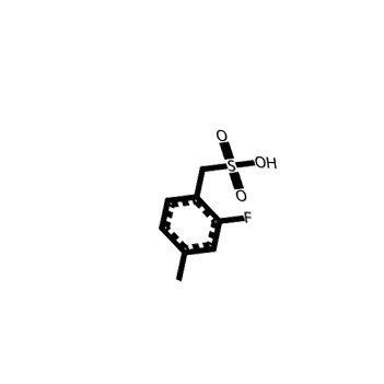 Cc1ccc(CS(=O)(=O)O)c(F)c1